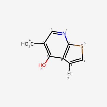 CCc1csc2ncc(C(=O)O)c(O)c12